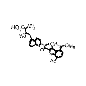 COCc1ccc(C(C)=O)c2sc(C(=O)Nc3ccc4c(CC(O)C(N)C(=O)O)cccc4n3)c(C)c12